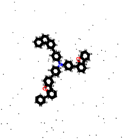 c1ccc(-c2cccc3c2oc2ccc(-c4ccc(N(c5ccc(-c6ccc7ccc8ccccc8c7c6)cc5)c5ccc(-c6cccc7c6oc6ccccc67)cc5)cc4)cc23)cc1